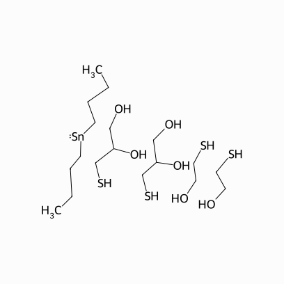 CCC[CH2][Sn][CH2]CCC.OCC(O)CS.OCC(O)CS.OCCS.OCCS